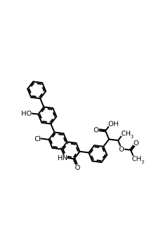 CC(=O)OC(C)C(C(=O)O)c1cccc(-c2cc3cc(-c4ccc(-c5ccccc5)c(O)c4)c(Cl)cc3[nH]c2=O)c1